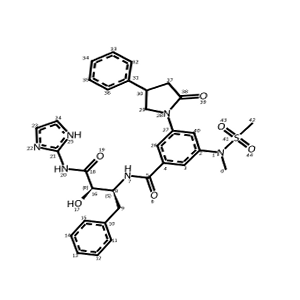 CN(c1cc(C(=O)N[C@@H](Cc2ccccc2)[C@@H](O)C(=O)Nc2ncc[nH]2)cc(N2CC(c3ccccc3)CC2=O)c1)S(C)(=O)=O